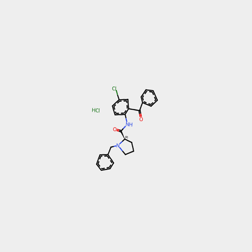 Cl.O=C(c1ccccc1)c1cc(Cl)ccc1NC(=O)[C@H]1CCCN1Cc1ccccc1